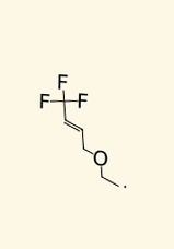 [CH2]COCC=CC(F)(F)F